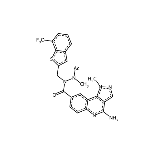 CC(=O)N(C)N(Cc1cc2cccc(C(F)(F)F)c2s1)C(=O)c1ccc2nc(N)c3cnn(C)c3c2c1